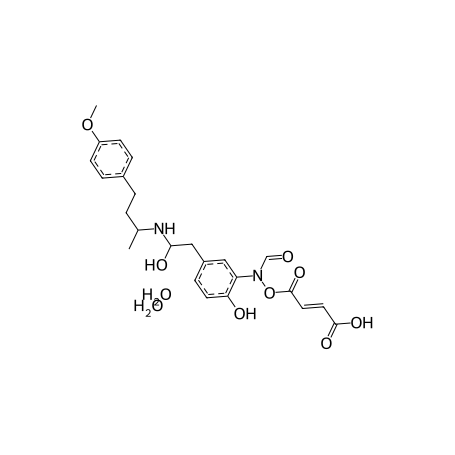 COc1ccc(CCC(C)NC(O)Cc2ccc(O)c(N(C=O)OC(=O)/C=C/C(=O)O)c2)cc1.O.O